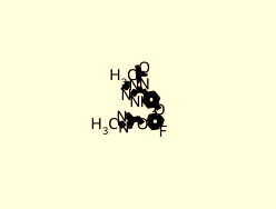 Cc1ncc(COc2cc(F)cc(Oc3ccc(-c4nc(C5(C)COC5)n5ccnc(N)c45)cc3)c2)cn1